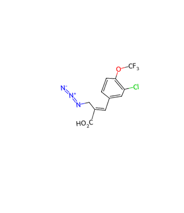 [N-]=[N+]=NCC(=Cc1ccc(OC(F)(F)F)c(Cl)c1)C(=O)O